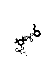 CCCc1ccccc1OC(=O)NCC1(C)CC(OC(N)=O)CC(C)(C)C1